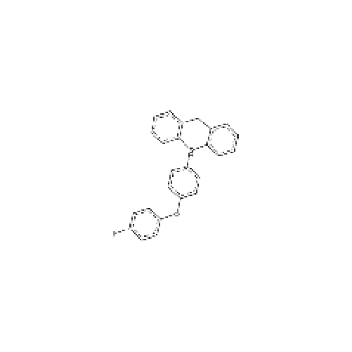 Ic1ccc(Oc2ccc([SH]3c4ccccc4Cc4ccccc43)cc2)cc1